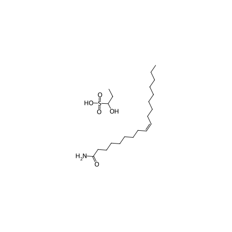 CCC(O)S(=O)(=O)O.CCCCCCCC/C=C\CCCCCCCC(N)=O